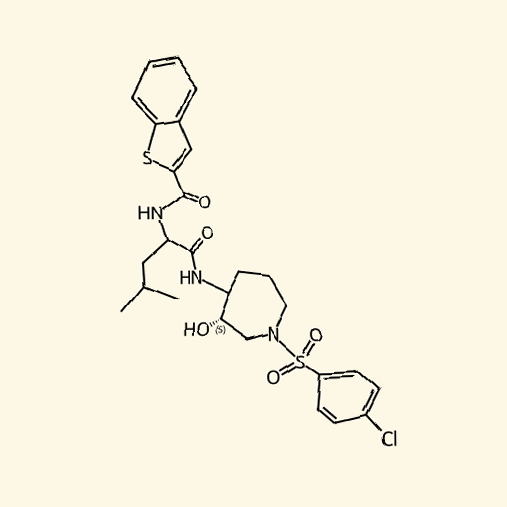 CC(C)CC(NC(=O)c1cc2ccccc2s1)C(=O)NC1CCCN(S(=O)(=O)c2ccc(Cl)cc2)C[C@@H]1O